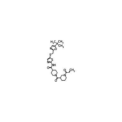 C=CC(=O)N1CCCC(C(=O)N2CCC(C(=O)Nc3ncc(SCc4ncc(C(C)(C)C)o4)s3)CC2)C1